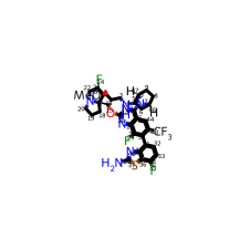 COCCCNC1C[C@H]2CC[C@H]1N2c1nc(OC[C@@]23CCCN2C[C@H](F)C3)nc2c(F)c(-c3ccc(F)c4sc(N)nc34)c(C(F)(F)F)cc12